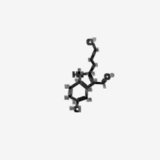 O=Cc1c(CCCCl)[nH]c2ccc(Cl)cc12